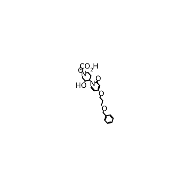 O=C(O)ON1CCC(n2ccc(OCCCOCc3ccccc3)cc2=O)C(O)C1